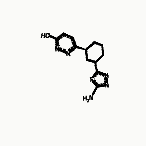 Nc1nnc(C2CCC[C@H](c3ccc(O)nn3)C2)s1